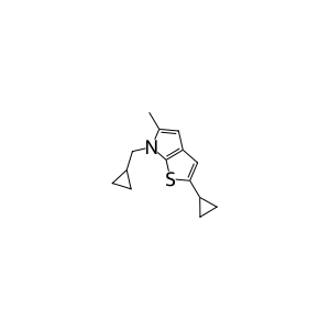 Cc1cc2cc(C3CC3)sc2n1CC1CC1